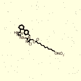 CCCCc1nc(Cl)c(COC(=O)CCCCCCCCCCO[N+](=O)[O-])n1Cc1ccc(-c2ccccc2-c2nnn[nH]2)cc1